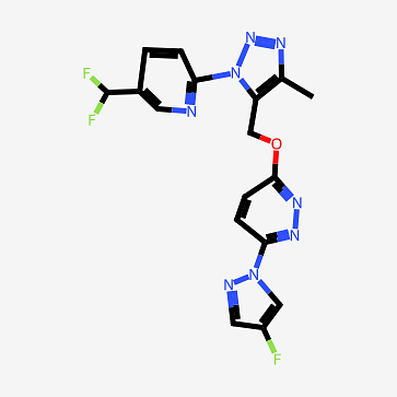 Cc1nnn(-c2ccc(C(F)F)cn2)c1COc1ccc(-n2cc(F)cn2)nn1